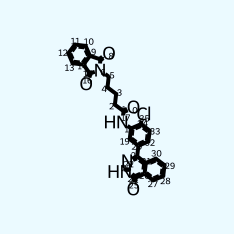 O=C(CCCCN1C(=O)c2ccccc2C1=O)Nc1cc(-c2n[nH]c(=O)c3ccccc23)ccc1Cl